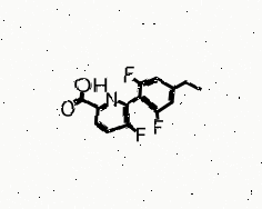 CCc1cc(F)c(-c2nc(C(=O)O)ccc2F)c(F)c1